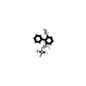 F[B-](F)(F)F.N#[N+]c1cccc(N)c1-c1ccccc1